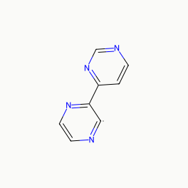 [c]1nccnc1-c1ccncn1